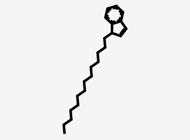 CCCCCCCCCCCCCCC1C=Cc2ccccc21